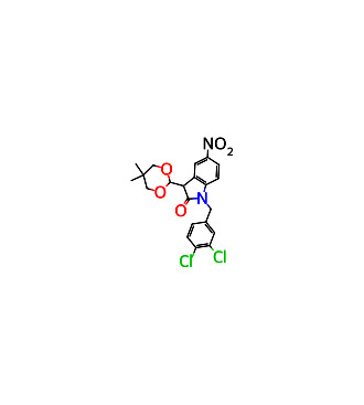 CC1(C)COC(C2C(=O)N(Cc3ccc(Cl)c(Cl)c3)c3ccc([N+](=O)[O-])cc32)OC1